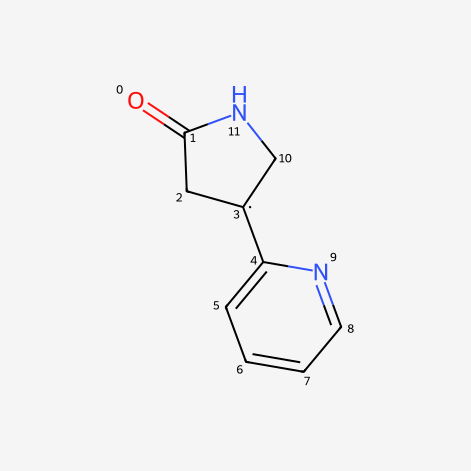 O=C1C[C](c2ccccn2)CN1